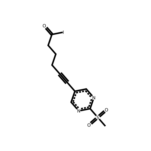 CS(=O)(=O)c1ncc(C#CCCCC(=O)I)cn1